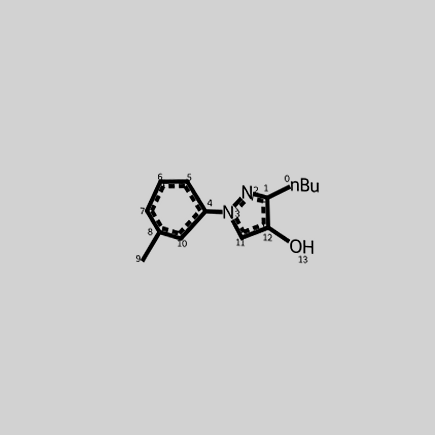 CCCCc1nn(-c2cccc(C)c2)cc1O